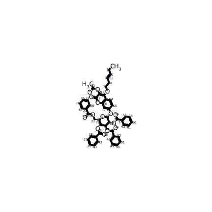 CC/C=C/CCOc1c(OC(C)=O)c(=O)oc2cc(O[C@@H]3O[C@H](COC(=O)c4ccccc4)[C@@H](OC(=O)c4ccccc4)[C@H](OC(=O)c4ccccc4)[C@H]3OC(=O)c3ccccc3)ccc12